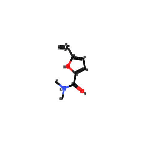 CN(C)C(=O)c1ccc(C(=O)O)o1